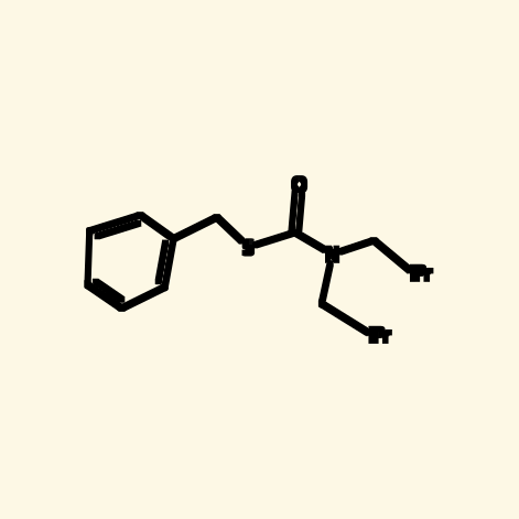 CC(C)CN(CC(C)C)C(=O)SCc1ccccc1